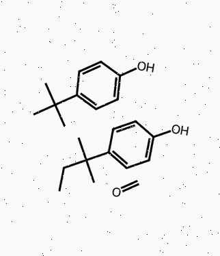 C=O.CC(C)(C)c1ccc(O)cc1.CCC(C)(C)c1ccc(O)cc1